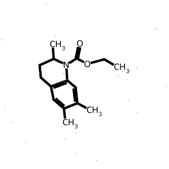 CCOC(=O)N1c2cc(C)c(C)cc2CCC1C